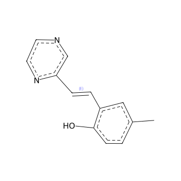 Cc1ccc(O)c(/C=C/c2cnccn2)c1